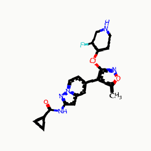 Cc1onc(OC2CCNCC2F)c1-c1ccn2nc(NC(=O)C3CC3)cc2c1